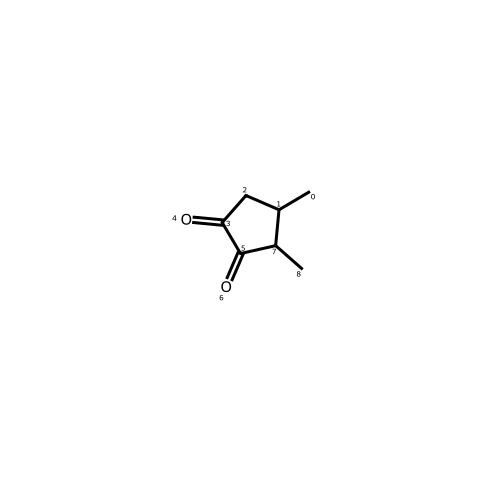 CC1CC(=O)C(=O)C1C